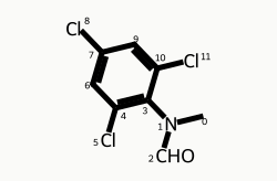 CN(C=O)c1c(Cl)cc(Cl)cc1Cl